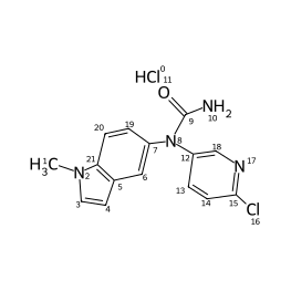 Cl.Cn1ccc2cc(N(C(N)=O)c3ccc(Cl)nc3)ccc21